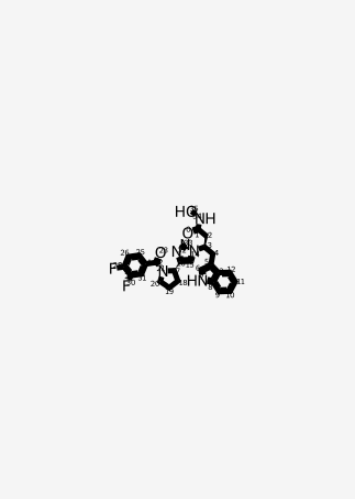 O=C(C[C@@H](Cc1c[nH]c2ccccc12)n1cc([C@@H]2CCCN2C(=O)c2ccc(F)c(F)c2)nn1)NO